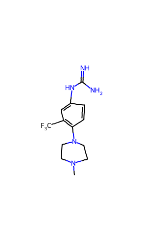 CN1CCN(c2ccc(NC(=N)N)cc2C(F)(F)F)CC1